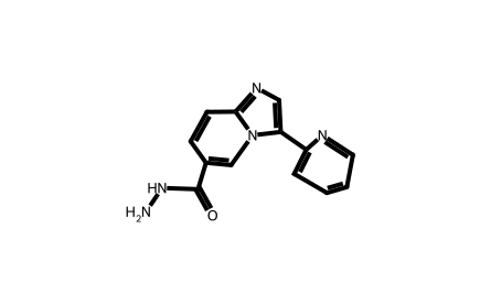 NNC(=O)c1ccc2ncc(-c3ccccn3)n2c1